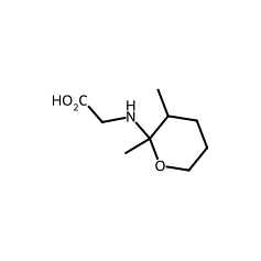 CC1CCCOC1(C)NCC(=O)O